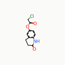 O=C1CCc2cc(OC(=O)CCl)ccc2N1